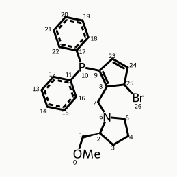 COC[C@@H]1CCCN1CC1=C(P(c2ccccc2)c2ccccc2)C=CC1Br